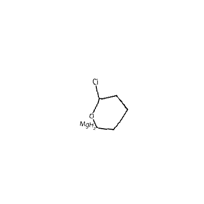 ClC1CCCCO1.[MgH2]